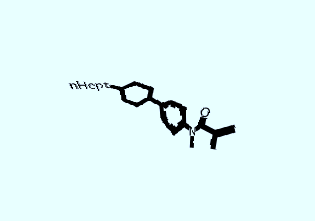 C=C(C)C(=O)N(C)c1ccc(C2CCC(CCCCCCC)CC2)cc1